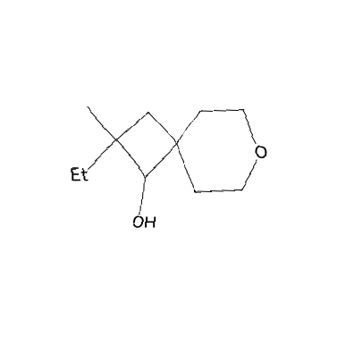 CCC1(C)CC2(CCOCC2)C1O